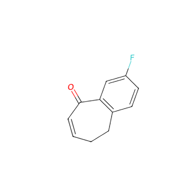 O=C1C=CCCc2ccc(F)cc21